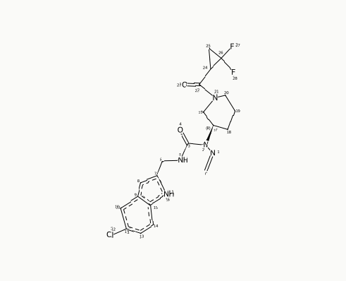 C=NN(C(=O)NCc1cc2cc(Cl)ccc2[nH]1)[C@@H]1CCCN(C(=O)C2CC2(F)F)C1